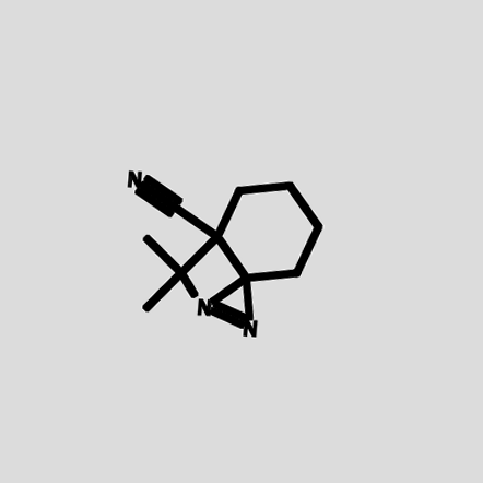 CC(C)(C)C1(C#N)CCCCC12N=N2